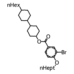 CCCCCCCOc1ccc(C(=O)OC2CCC(C3CCC(CCCCCC)CC3)CC2)cc1Br